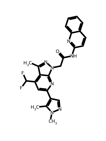 Cc1nn(CC(=O)Nc2ccc3ccccc3n2)c2nc(-c3cnn(C)c3C)cc(C(F)F)c12